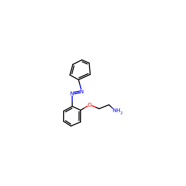 NCCOc1ccccc1N=Nc1ccccc1